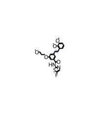 COCCCOc1cc(/C=C/c2cccc(OC)c2OC)cc(C(=O)Nc2ncc(F)s2)c1